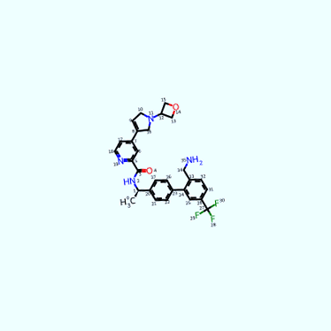 C[C@@H](NC(=O)c1cc(C2=CCN(C3COC3)C2)ccn1)c1ccc(-c2cc(C(F)(F)F)ccc2CN)cc1